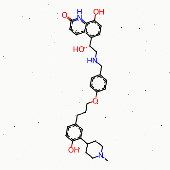 CN1CCC(c2cc(CCCOc3ccc(CNC[C@H](O)c4ccc(O)c5[nH]c(=O)ccc45)cc3)ccc2O)CC1